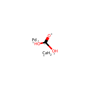 O=C(O)O.[CaH2].[Pd]